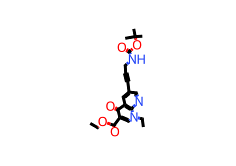 CCOC(=O)c1cn(CC)c2ncc(C#CCNC(=O)OC(C)(C)C)cc2c1=O